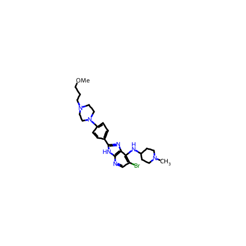 COCCCN1CCN(c2ccc(-c3nc4c(NC5CCN(C)CC5)c(Br)cnc4[nH]3)cc2)CC1